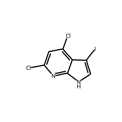 Clc1cc(Cl)c2c(I)c[nH]c2n1